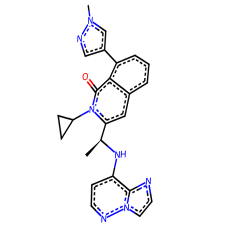 C[C@H](Nc1ccnn2ccnc12)c1cc2cccc(-c3cnn(C)c3)c2c(=O)n1C1CC1